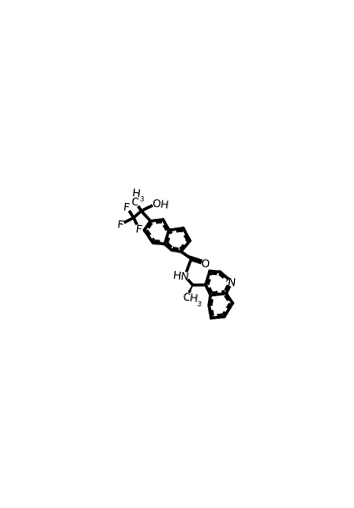 C[C@@H](NC(=O)c1ccc2cc(C(C)(O)C(F)(F)F)ccc2c1)c1ccnc2ccccc12